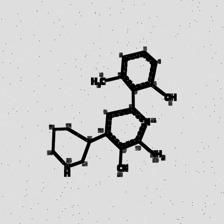 Cc1cccc(O)c1-c1cc(C2CCCNC2)c(C#N)c(N)n1